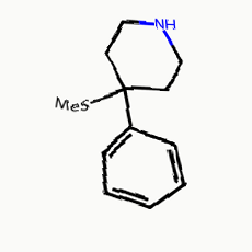 CSC1(c2ccccc2)CCNCC1